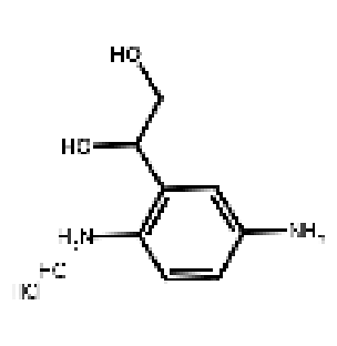 Cl.Cl.Nc1ccc(N)c(C(O)CO)c1